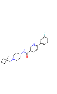 CC1(CN2CCC(NC(=O)c3ccc(-c4cccc(F)c4)nc3)CC2)CCC1